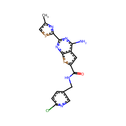 Cc1csc(-c2nc(N)c3cc(C(=O)NCc4ccc(Cl)nc4)sc3n2)n1